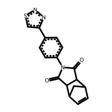 O=C1C2C3C=CC(C3)C2C(=O)N1c1ccc(-c2csnn2)cc1